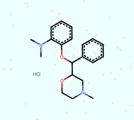 CN1CCOC(C(Oc2ccccc2N(C)C)c2ccccc2)C1.Cl